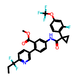 CCC(F)(F)c1ccc(-c2ccc(NC(=O)C3(c4ccc(OC(F)(F)F)cc4F)CC3)cc2C(=O)OC)cn1